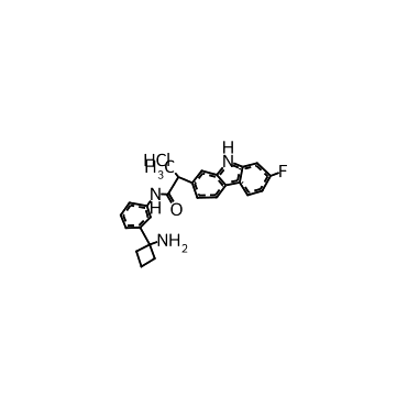 CC(C(=O)Nc1cccc(C2(N)CCC2)c1)c1ccc2c(c1)[nH]c1cc(F)ccc12.Cl